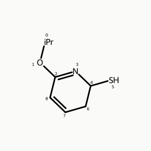 CC(C)OC1=NC(S)CC=C1